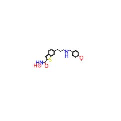 COc1ccc(CNCCCc2ccc3cc(C(=O)NO)sc3c2)cc1